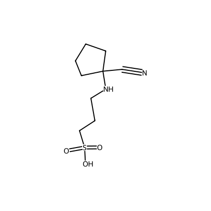 N#CC1(NCCCS(=O)(=O)O)CCCC1